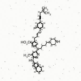 Cc1cc(N(CCCCN2CCNCC2)c2nc(C(=O)O)c(CCCOc3ccc(C#CCN(C)C)cc3F)s2)nnc1Nc1nc2ccccc2s1